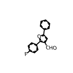 O=Cc1cc(-c2ccccc2)oc1-c1ccc(F)cc1